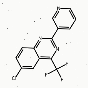 FC(F)(F)c1nc(-c2cccnc2)nc2ccc(Cl)cc12